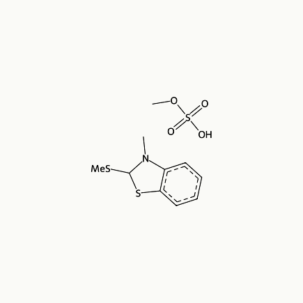 COS(=O)(=O)O.CSC1Sc2ccccc2N1C